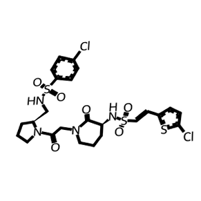 O=C1[C@@H](NS(=O)(=O)/C=C/c2ccc(Cl)s2)CCCN1CC(=O)N1CCC[C@H]1CNS(=O)(=O)c1ccc(Cl)cc1